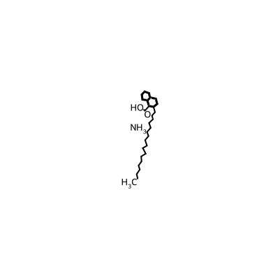 CCCCCCCCCCCCCCCCCCc1ccc2ccccc2c1C(=O)O.N